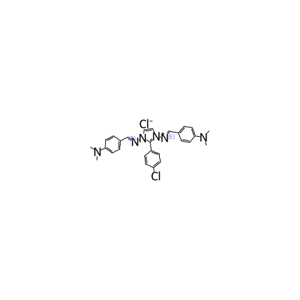 CN(C)c1ccc(/C=N/n2cc[n+](/N=C/c3ccc(N(C)C)cc3)c2-c2ccc(Cl)cc2)cc1.[Cl-]